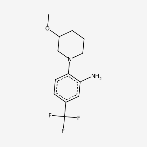 COC1CCCN(c2ccc(C(F)(F)F)cc2N)C1